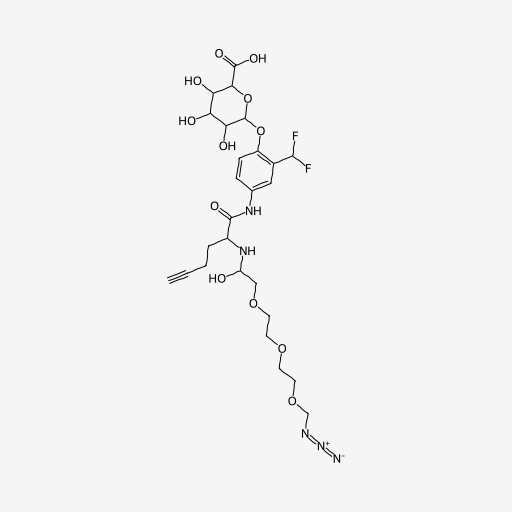 C#CCCC(NC(O)COCCOCCOCN=[N+]=[N-])C(=O)Nc1ccc(OC2OC(C(=O)O)C(O)C(O)C2O)c(C(F)F)c1